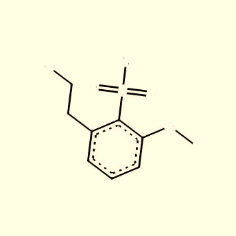 COc1cccc(CC[O])c1S(N)(=O)=O